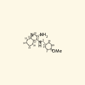 COc1ccc(CNc2c(N)cnc3ccccc23)cc1